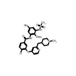 COc1c(NC(=O)c2ccc(Cl)c(Oc3ccnc(CC4CCN(C)CC4)c3)c2)cc(C(C)(C)C)cc1NS(C)(=O)=O